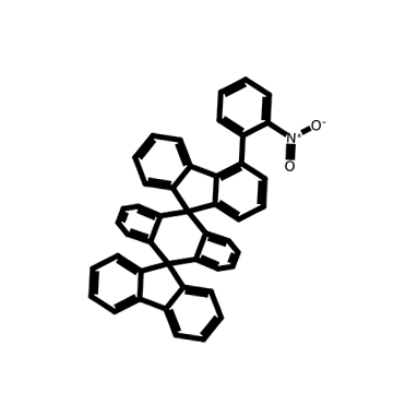 O=[N+]([O-])c1ccccc1-c1cccc2c1-c1ccccc1C21c2ccccc2C2(c3ccccc3-c3ccccc32)c2ccccc21